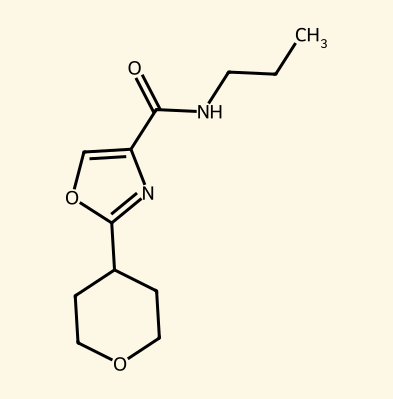 CCCNC(=O)c1coc(C2CCOCC2)n1